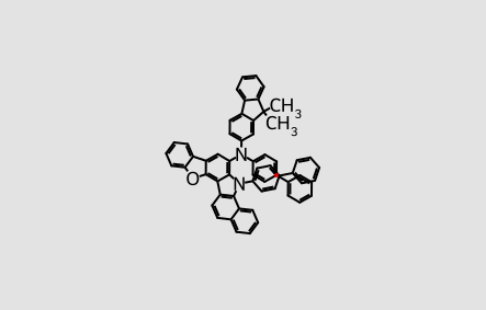 CC1(C)c2ccccc2-c2ccc(N(c3ccc(-c4ccccc4)cc3)c3cc4c5ccccc5oc4c4c5ccc6ccccc6c5n(-c5ccc(-c6ccccc6)cc5)c34)cc21